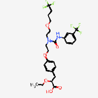 CCOC(Cc1ccc(OCCN(CCOCCCC(F)(F)F)C(=O)Nc2cccc(C(F)(F)F)c2)cc1)C(=O)O